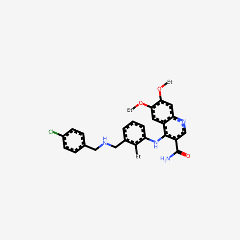 CCOc1cc2ncc(C(N)=O)c(Nc3cccc(CNCc4ccc(Cl)cc4)c3CC)c2cc1OCC